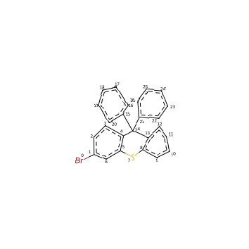 Brc1ccc2c(c1)Sc1ccccc1C2(c1ccccc1)c1ccccc1